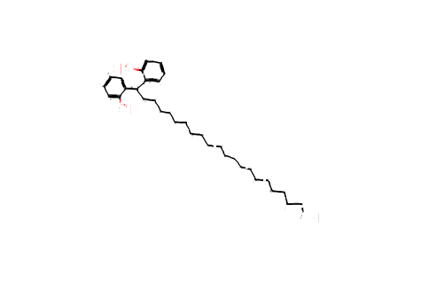 CCCCCCCCCCCCCCCCCCCCCC(c1ccccc1O)c1ccccc1O